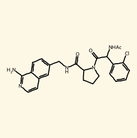 CC(=O)NC(C(=O)N1CCCC1C(=O)NCc1ccc2c(N)nccc2c1)c1ccccc1Cl